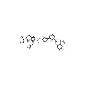 Cc1ccc(COc2cccc(-n3ccc(CC(C)c4nc5ccc(C(=O)OI)nc5n4C[C@@H]4CCO4)n3)n2)c(P)c1